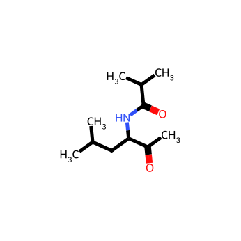 CC(=O)C(CC(C)C)NC(=O)C(C)C